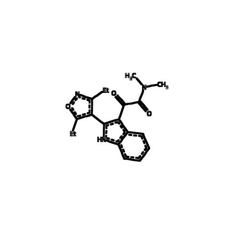 CCc1noc(CC)c1-c1[nH]c2ccccc2c1C(=O)C(=O)N(C)C